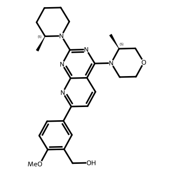 COc1ccc(-c2ccc3c(N4CCOC[C@@H]4C)nc(N4CCCC[C@@H]4C)nc3n2)cc1CO